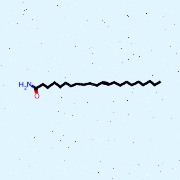 CCCCCCCCCC=CCCCCCCCCCCC(N)=O